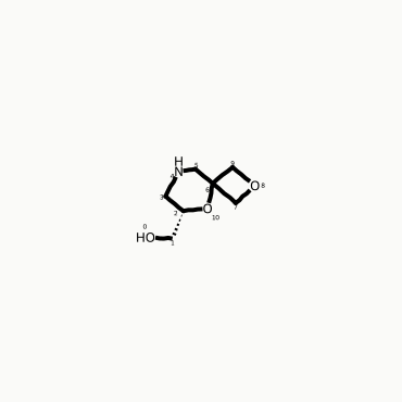 OC[C@@H]1CNCC2(COC2)O1